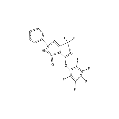 O=C(Oc1c(F)c(F)c(F)c(F)c1F)c1c(C(F)(F)F)cc(-c2ccccc2)[nH]c1=O